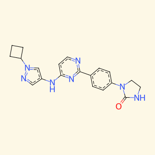 O=C1NCCN1c1ccc(-c2nccc(Nc3cnn(C4CCC4)c3)n2)cc1